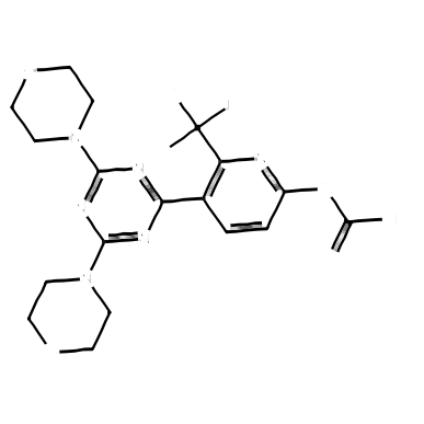 CC(=O)Oc1ccc(-c2nc(N3CCOCC3)nc(N3CCOCC3)n2)c(C(F)(F)F)n1